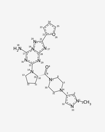 Cn1cc(N2CCN(C(=O)[C@@H]3CCCN3c3nc(N)n4nc(-c5ccco5)nc4n3)CC2)cn1